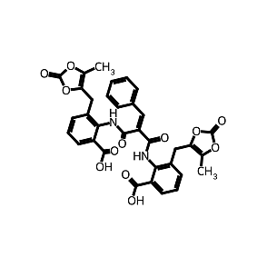 Cc1oc(=O)oc1Cc1cccc(C(=O)O)c1NC(=O)C(=Cc1ccccc1)C(=O)Nc1c(Cc2oc(=O)oc2C)cccc1C(=O)O